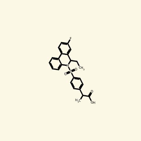 CCC1c2cc(F)ccc2-c2ccccc2N1S(=O)(=O)c1ccc(C(C)C(=O)O)cc1